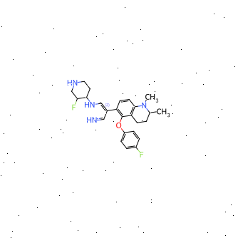 CC1CCc2c(ccc(/C(C=N)=C/NC3CCNCC3F)c2Oc2ccc(F)cc2)N1C